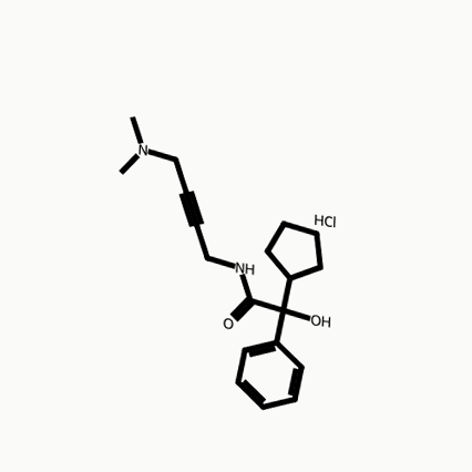 CN(C)CC#CCNC(=O)C(O)(c1ccccc1)C1CCCC1.Cl